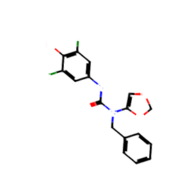 O=C(Nc1cc(Cl)c(O)c(Cl)c1)N(Cc1ccccc1)C1=COCO1